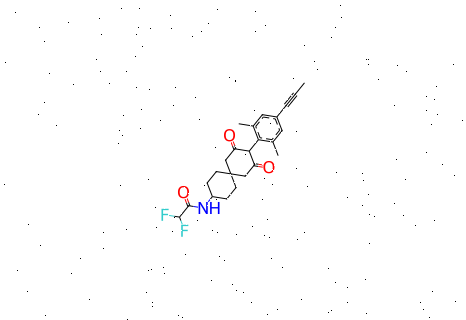 CC#Cc1cc(C)c(C2C(=O)CC3(CCC(NC(=O)C(F)F)CC3)CC2=O)c(C)c1